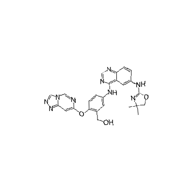 CC1(C)COC(Nc2ccc3ncnc(Nc4ccc(Oc5cc6nncn6cn5)c(CO)c4)c3c2)=N1